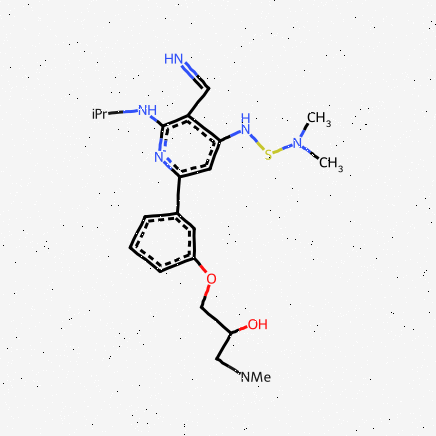 CNCC(O)COc1cccc(-c2cc(NSN(C)C)c(C=N)c(NC(C)C)n2)c1